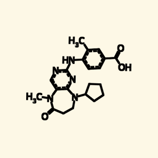 Cc1cc(C(=O)O)ccc1Nc1ncc2c(n1)N(C1CCCC1)CCC(=O)N2C